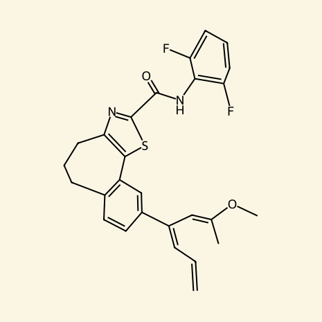 C=C/C=C(\C=C(/C)OC)c1ccc2c(c1)-c1sc(C(=O)Nc3c(F)cccc3F)nc1CCC2